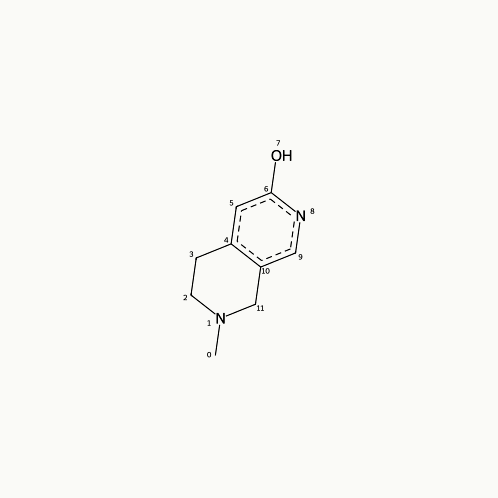 CN1CCc2cc(O)ncc2C1